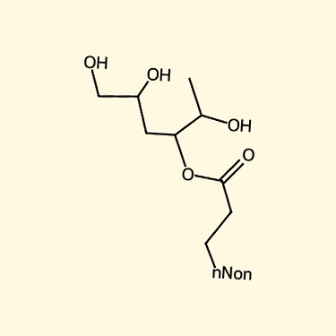 CCCCCCCCCCCC(=O)OC(CC(O)CO)C(C)O